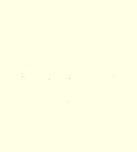 NCc1ccccc1-c1ccc2cccc(N)c2n1